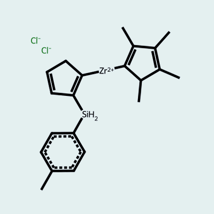 CC1=C(C)C(C)[C]([Zr+2][C]2=C([SiH2]c3ccc(C)cc3)C=CC2)=C1C.[Cl-].[Cl-]